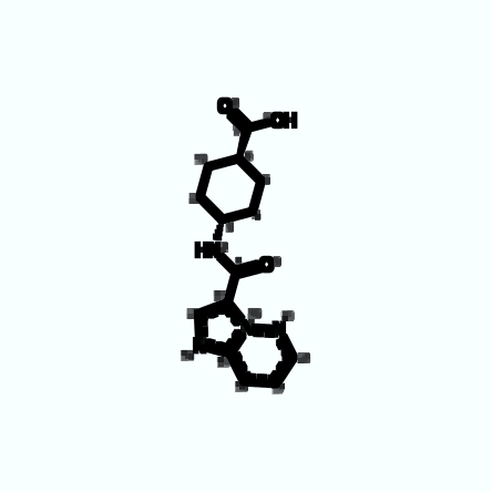 O=C(N[C@H]1CC[C@H](C(=O)O)CC1)c1cnc2cccnn12